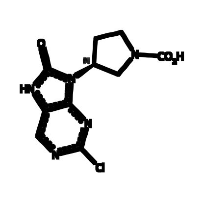 O=C(O)N1CC[C@H](n2c(=O)[nH]c3cnc(Cl)nc32)C1